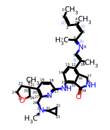 C\C=C/C(C)=C\C(C)=N\C=C(/C)c1ccc(Nc2ccc([C@]3(C)CCOC3)c(CN(C)C3CC3)n2)c2c1CNC2=O